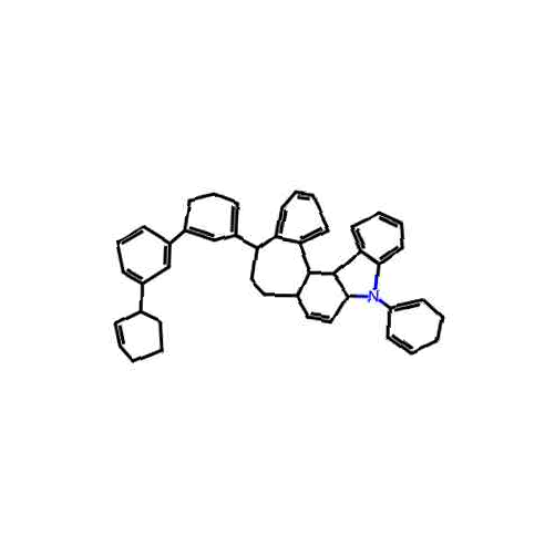 C1=CC(N2c3ccccc3C3C4c5ccccc5C(C5=CCCC(c6cccc(C7C=CCCC7)c6)=C5)CCC4C=CC32)=CCC1